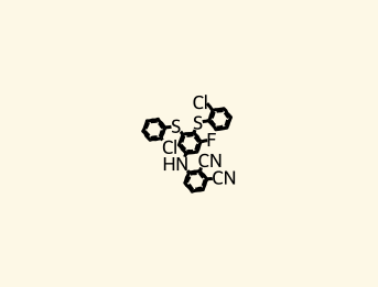 N#Cc1cccc(Nc2cc(F)c(Sc3ccccc3Cl)c(Sc3ccccc3Cl)c2)c1C#N